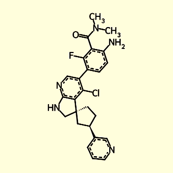 CN(C)C(=O)c1c(N)ccc(-c2cnc3c(c2Cl)[C@]2(CC[C@@H](c4cccnc4)C2)CN3)c1F